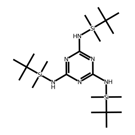 CC(C)(C)[Si](C)(C)Nc1nc(N[Si](C)(C)C(C)(C)C)nc(N[Si](C)(C)C(C)(C)C)n1